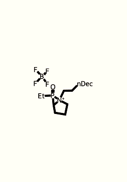 CCCCCCCCCCCC[N+]12CCCC1P2(=O)CC.F[B-](F)(F)F